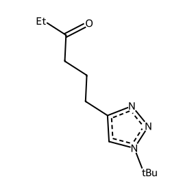 CCC(=O)CCCc1cn(C(C)(C)C)nn1